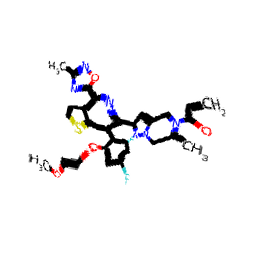 C=CC(=O)N1Cc2cc(-c3nc(-c4nc(C)no4)c4ccsc4c3-c3c(F)cc(F)cc3OCCOC)nn2CC1C